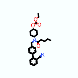 CCCCC(=O)N(Cc1ccc(-c2ccccc2C#N)cc1)[C@H]1CC[C@@H](OC(=O)OCC)CC1